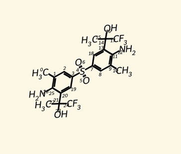 Cc1cc(S(=O)(=O)c2cc(C)c(N)c(C(C)(O)C(F)(F)F)c2)cc(C(C)(O)C(F)(F)F)c1N